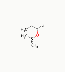 [Li][CH](CC)O[SiH](C)C